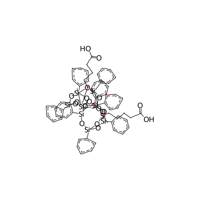 C[Si]1(CCCCC(=O)O)O[Si]2(c3ccccc3)OC34O[Si](c5ccccc5)(O2)O[Si]2(c5ccccc5)O[Si](C)(CCCCC(=O)O)O[Si]5(c6ccccc6)O[Si](c6ccccc6)(O[Si](c6ccccc6)(O1)O[Si]3(c1ccccc1)O5)O[Si]4(c1ccccc1)O2